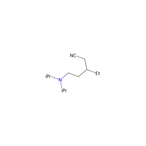 CCC(CC#N)CCN(C(C)C)C(C)C